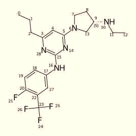 CCCc1cc(N2CC[C@H](NCC)C2)nc(Nc2ccc(F)c(C(F)(F)F)c2)n1